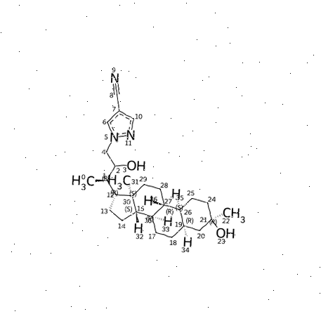 C[C@@H](C(O)Cn1cc(C#N)cn1)[C@H]1CC[C@H]2[C@@H]3CC[C@@H]4C[C@](C)(O)CC[C@@H]4[C@H]3CC[C@]12C